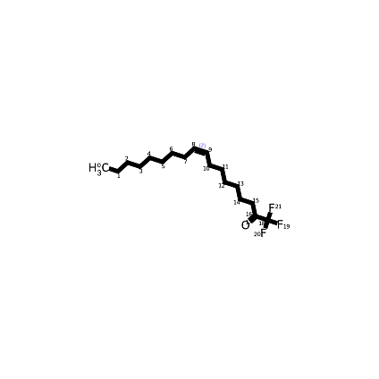 CCCCCCCC/C=C\CCCCCCC(=O)C(F)(F)F